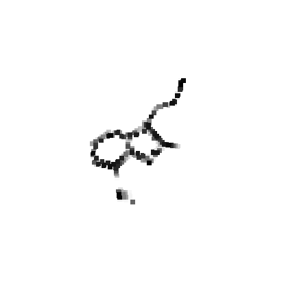 Nc1cccc2c1cc(I)n2CCCl